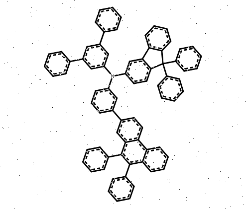 c1ccc(-c2cc(-c3ccccc3)cc(N(c3cccc(-c4ccc5c(c4)c(-c4ccccc4)c(-c4ccccc4)c4ccccc45)c3)c3ccc4c(c3)-c3ccccc3C4(c3ccccc3)c3ccccc3)c2)cc1